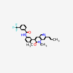 CC=Cc1cc2c(cn1)cc(-c1cc(NC(=O)c3cccc(C(F)(F)F)c3)ccc1C)c(=O)n2C